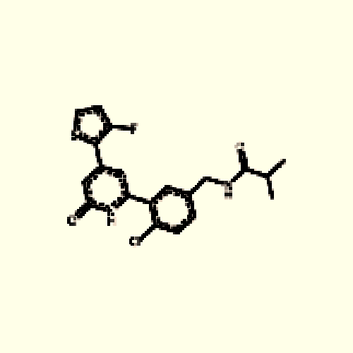 CC(C)C(=O)NCc1ccc(Cl)c(-c2nc(-c3sccc3F)cc(=O)[nH]2)c1